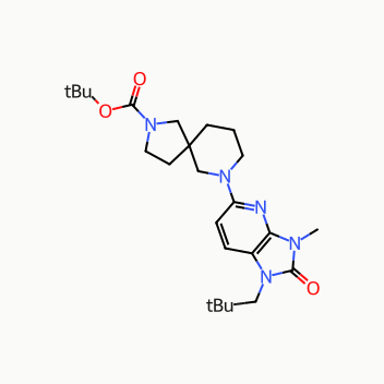 Cn1c(=O)n(CC(C)(C)C)c2ccc(N3CCCC4(CCN(C(=O)OC(C)(C)C)C4)C3)nc21